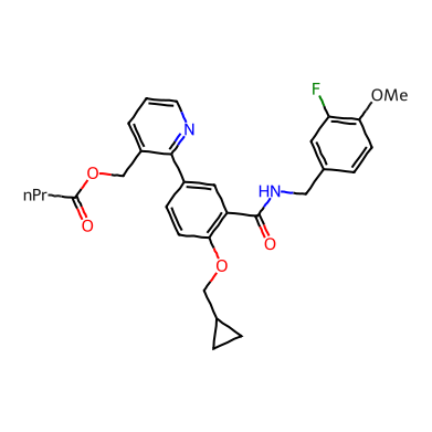 CCCC(=O)OCc1cccnc1-c1ccc(OCC2CC2)c(C(=O)NCc2ccc(OC)c(F)c2)c1